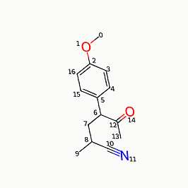 COc1ccc(C(CC(C)C#N)C(C)=O)cc1